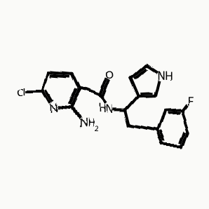 Nc1nc(Cl)ccc1C(=O)NC(Cc1cccc(F)c1)c1cc[nH]c1